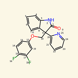 O=C1Nc2ccccc2C1(COc1ccc(F)c(F)c1)c1ccccn1